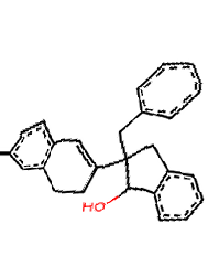 OC1c2ccccc2CC1(Cc1ccccc1)C1=Cc2ccccc2CC1